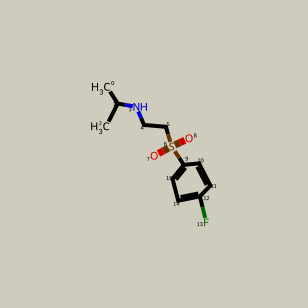 CC(C)NCCS(=O)(=O)c1ccc(F)cc1